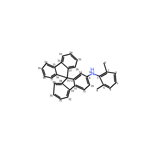 Cc1cccc(C)c1Nc1ccc2c(c1)C1(c3ccccc3-c3ccccc31)c1ccccc1-2